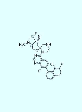 CN1C[C@H](F)C[C@H]1COC1(CC#N)CNCCN1c1ncnc2c(F)c(-c3cccc4ccc(F)c(Cl)c34)ccc12